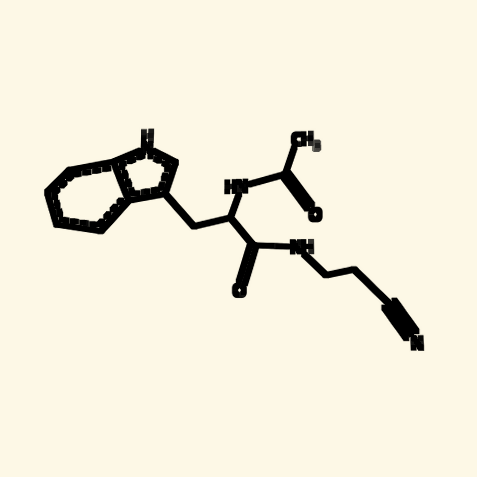 CC(=O)NC(Cc1c[nH]c2ccccc12)C(=O)NCCC#N